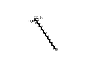 CCC=CCC=CCC=CCC=CCC=CCC=CCC(C)C(=O)OCC